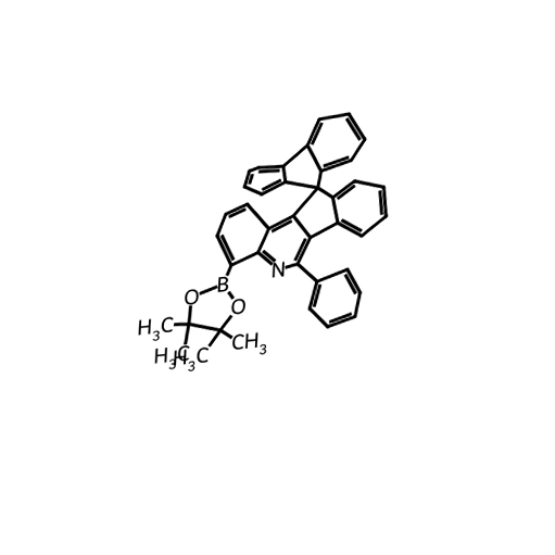 CC1(C)OB(c2cccc3c4c(c(-c5ccccc5)nc23)-c2ccccc2C42c3ccccc3-c3ccccc32)OC1(C)C